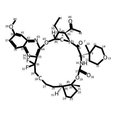 CC[C@@H]1[C@@H]2CN(C(=O)[C@H](C3(C)CCOCC3)NC(=O)O[C@]3(C)CCC[C@H]3CCCCC(F)(F)c3nc4ccc(OC)cc4nc3O2)[C@@H]1C(C)=O